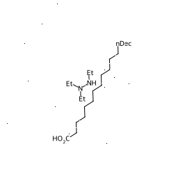 CCCCCCCCCCCCCCCCCCCCCC(=O)O.CCNN(CC)CC